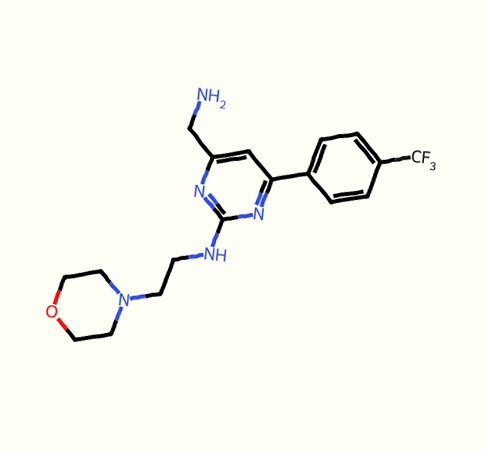 NCc1cc(-c2ccc(C(F)(F)F)cc2)nc(NCCN2CCOCC2)n1